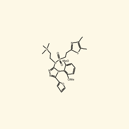 COc1cccc(OC)c1-n1c(-c2ccco2)nnc1N(CC[Si](C)(C)C)S(=O)(=O)CCc1nc(C)c(C)s1